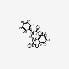 O=C(O)N(Cn1c(=O)oc2ccccc21)c1ccccc1